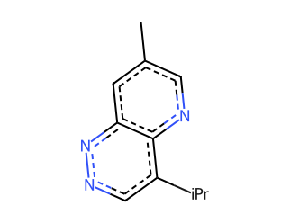 Cc1cnc2c(C(C)C)cnnc2c1